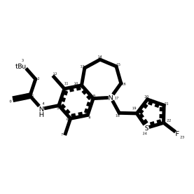 C=C(CC(C)(C)C)Nc1c(C)cc2c(c1C)CCCCN2Cc1ccc(F)s1